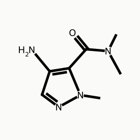 CN(C)C(=O)c1c(N)cnn1C